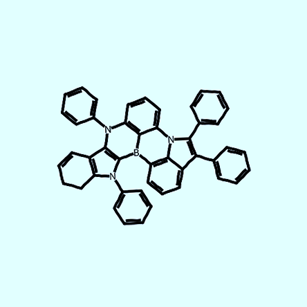 C1=Cc2c3c(n(-c4ccccc4)c2CC1)B1c2c(cccc2-n2c(-c4ccccc4)c(-c4ccccc4)c4cccc1c42)N3c1ccccc1